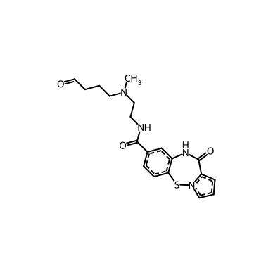 CN(CCCC=O)CCNC(=O)c1ccc2c(c1)NC(=O)c1cccn1S2